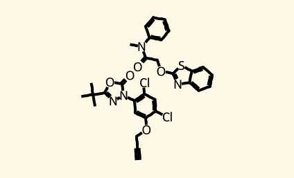 C#CCOc1cc(-n2nc(C(C)(C)C)oc2=O)c(Cl)cc1Cl.CN(C(=O)COc1nc2ccccc2s1)c1ccccc1